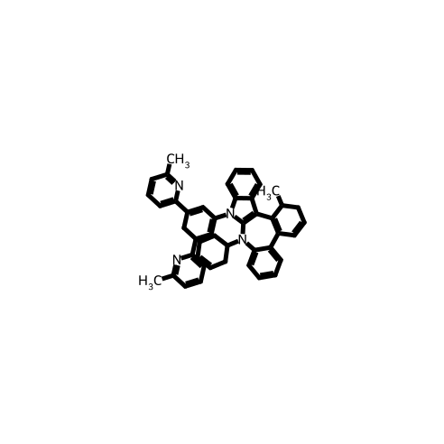 Cc1cccc(C2=CC(n3c4c(c5ccccc53)C3=C(C=CCC3C)c3ccccc3N4C3CC=CCC3)=CC(c3cccc(C)n3)C2)n1